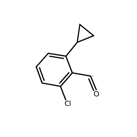 O=[C]c1c(Cl)cccc1C1CC1